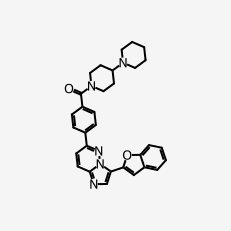 O=C(c1ccc(-c2ccc3ncc(-c4cc5ccccc5o4)n3n2)cc1)N1CCC(N2CCCCC2)CC1